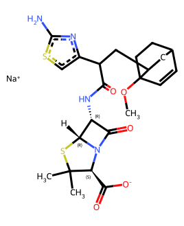 COC12C=CC(CC1)CC2CC(C(=O)N[C@@H]1C(=O)N2[C@@H]1SC(C)(C)[C@@H]2C(=O)[O-])c1csc(N)n1.[Na+]